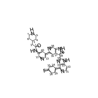 O=C(CC1CCNCC1)Nc1cncc(-c2cc3c(-c4nc5c(-c6ccc(F)cc6)nccc5[nH]4)n[nH]c3cn2)c1